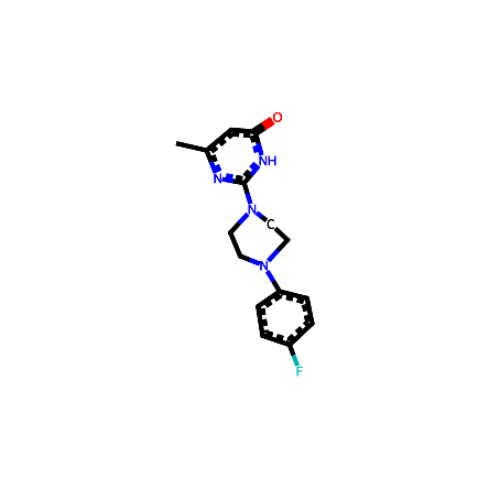 Cc1cc(=O)[nH]c(N2CCN(c3ccc(F)cc3)CC2)n1